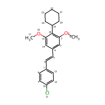 COc1cc(C=Cc2ccc(Cl)cc2)cc(OC)c1C1CCCCC1